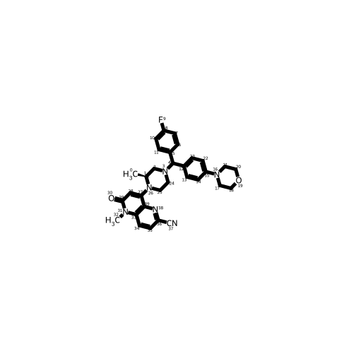 C[C@H]1CN(C(c2ccc(F)cc2)c2ccc(N3CCOCC3)cc2)CCN1c1cc(=O)n(C)c2ccc(C#N)nc12